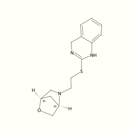 c1ccc2c(c1)CN=C(SCCN1C[C@H]3C[C@@H]1CO3)N2